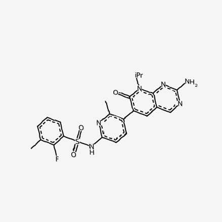 Cc1cccc(S(=O)(=O)Nc2ccc(-c3cc4cnc(N)nc4n(C(C)C)c3=O)c(C)n2)c1F